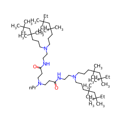 CCCN(CCC(=O)NCCN(CCCC(C)(C)CC(C)(C)CC)CCCC(C)(C)CC(C)(C)CC)CCC(=O)NCCN(CCCC(C)(C)CC(C)(C)CC)CCCC(C)(C)CC(C)(C)CC